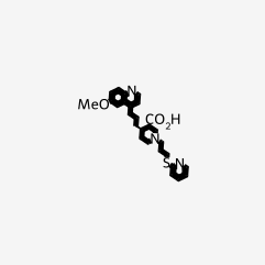 COc1ccc2nccc(CCC[C@@H]3CCN(CCCSc4ccccn4)C[C@@H]3C(=O)O)c2c1